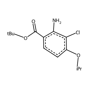 CC(C)Oc1ccc(C(=O)OC(C)(C)C)c(N)c1Cl